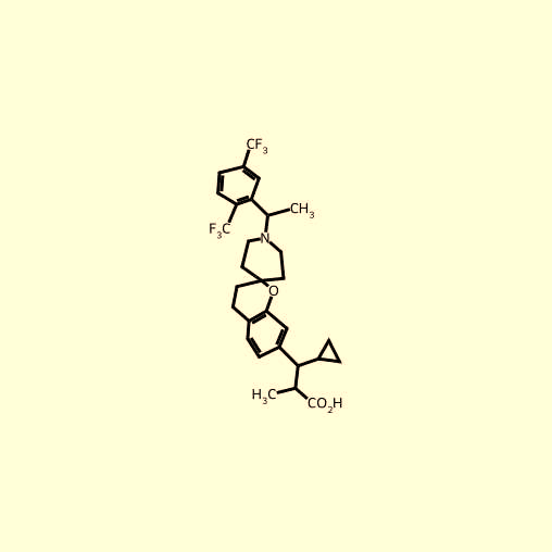 CC(C(=O)O)C(c1ccc2c(c1)OC1(CC2)CCN(C(C)c2cc(C(F)(F)F)ccc2C(F)(F)F)CC1)C1CC1